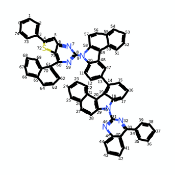 c1ccc(-c2cc3nc(-n4c5ccc(-c6cccc7c6c6c8ccccc8ccc6n7-c6nc(-c7ccccc7)c7ccccc7n6)cc5c5c6ccccc6ccc54)nc(-c4cccc5ccccc45)c3s2)cc1